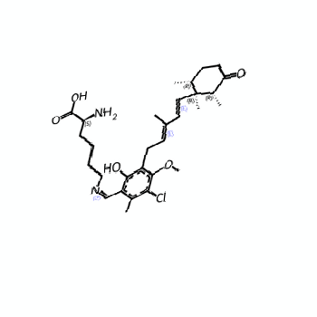 COc1c(Cl)c(C)c(/C=N\CCCC[C@H](N)C(=O)O)c(O)c1C/C=C(C)/C=C/[C@@]1(C)[C@H](C)CCC(=O)[C@@H]1C